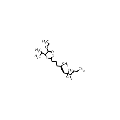 CCCCC(C)(C)C=C=C(C)CCCC(=O)OC(C(=O)OCC)C(C)C